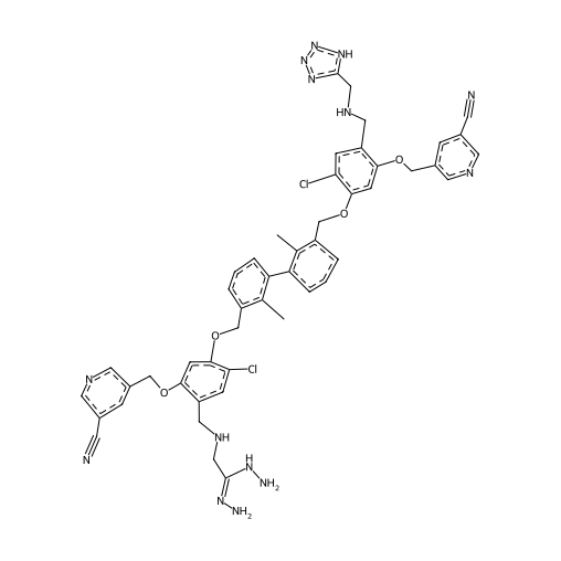 Cc1c(COc2cc(OCc3cncc(C#N)c3)c(CNC/C(=N/N)NN)cc2Cl)cccc1-c1cccc(COc2cc(OCc3cncc(C#N)c3)c(CNCc3nnn[nH]3)cc2Cl)c1C